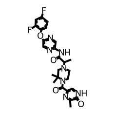 Cc1nc(C(=O)N2CCN(C(C)C(=O)Nc3cnc(Oc4ccc(F)cc4F)cn3)CC2(C)C)c[nH]c1=O